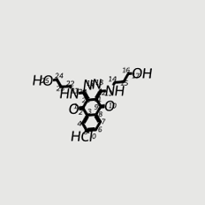 Cl.O=C1c2ccccc2C(=O)c2c(NCCCO)nnc(NCCCO)c21